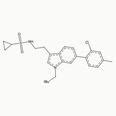 Cc1ccc(-c2ccc3c(CCNS(=O)(=O)C4CC4)cn(CC(C)(C)C)c3c2)c(Cl)c1